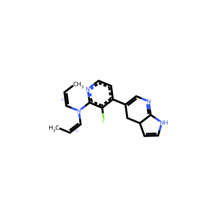 C/C=C\N(/C=C\C)c1nccc(C2=CN=C3NC=CC3C2)c1F